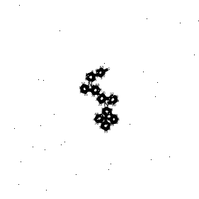 Cc1ccc(-c2cccc(-n3c4ccccc4c4cc(-c5ccc6c(c5)c5ccccc5n6-c5ccc6c(c5)-c5ccccc5C6(c5ccccc5)c5ccccc5)ccc43)c2)cc1